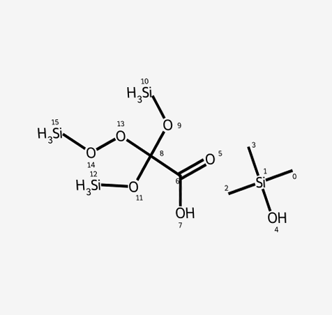 C[Si](C)(C)O.O=C(O)C(O[SiH3])(O[SiH3])OO[SiH3]